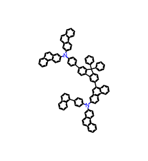 c1ccc(C2(c3ccccc3)c3ccc(-c4cc5cc(N(c6ccc(-c7cccc8ccccc78)cc6)c6ccc7c(ccc8ccccc87)c6)ccc5c5ccccc45)cc3-c3ccc(-c4ccc(N(c5ccc6c(ccc7ccccc76)c5)c5ccc6c(ccc7ccccc76)c5)cc4)cc32)cc1